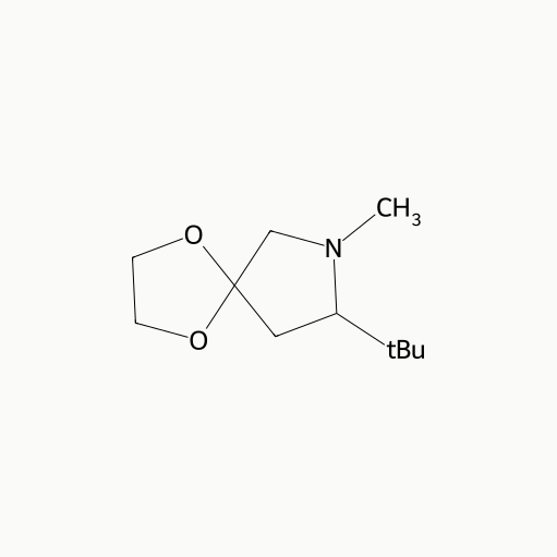 CN1CC2(CC1C(C)(C)C)OCCO2